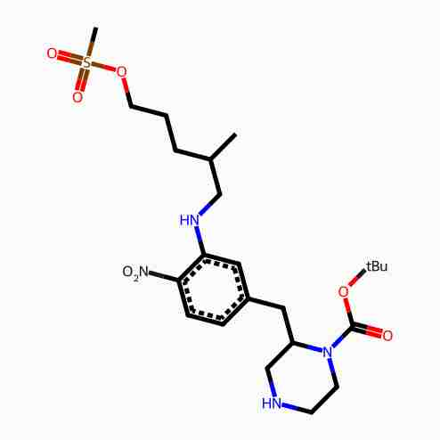 CC(CCCOS(C)(=O)=O)CNc1cc(CC2CNCCN2C(=O)OC(C)(C)C)ccc1[N+](=O)[O-]